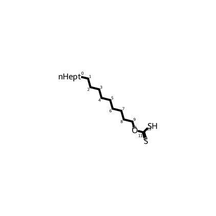 CCCCCCCCCCCCCCCCOC(=S)S